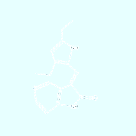 CCc1cc(CC)c(C=C2C(=O)Nc3ccncc32)[nH]1